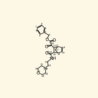 O=C(OCc1ccccc1)C(=O)C1C2C=CC(C2)C1C(=O)NCCN1CCOCC1